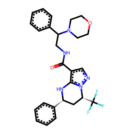 O=C(NCC(c1ccccc1)N1CCOCC1)c1cnn2c1N[C@@H](c1ccccc1)C[C@H]2C(F)(F)F